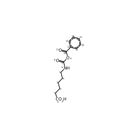 O=C(O)CCCCCNC(=O)OC(=O)c1ccccc1